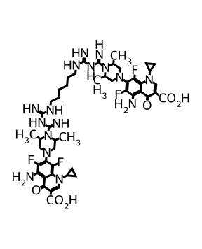 CC1CN(c2c(F)c(N)c3c(=O)c(C(=O)O)cn(C4CC4)c3c2F)CC(C)N1C(=N)NC(=N)NCCCCCCNC(=N)NC(=N)N1C(C)CN(c2c(F)c(N)c3c(=O)c(C(=O)O)cn(C4CC4)c3c2F)CC1C